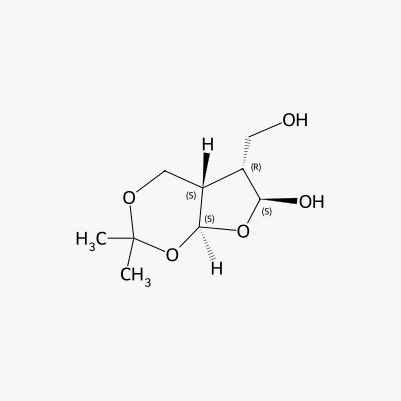 CC1(C)OC[C@H]2[C@@H](O[C@H](O)[C@H]2CO)O1